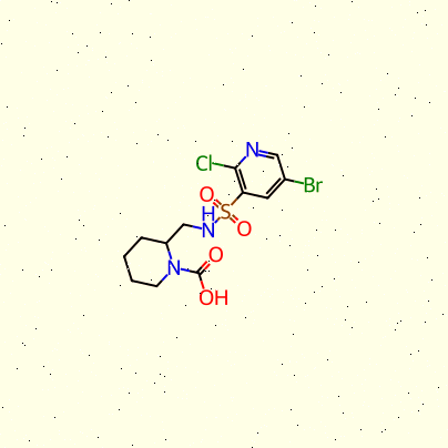 O=C(O)N1CCCCC1CNS(=O)(=O)c1cc(Br)cnc1Cl